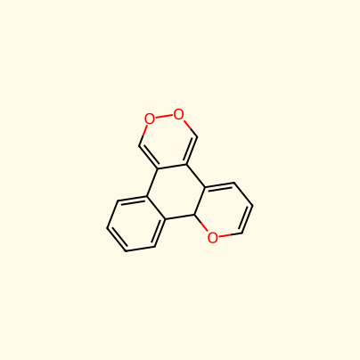 C1=COC2C(=C1)C1=COOC=C1c1ccccc12